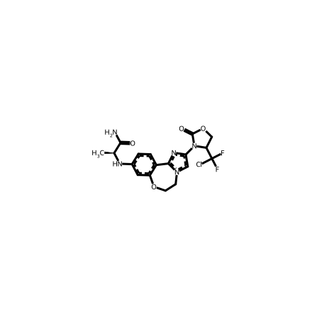 C[C@H](Nc1ccc2c(c1)OCCn1cc(N3C(=O)OCC3C(F)(F)Cl)nc1-2)C(N)=O